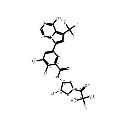 Cc1cc(-c2cc(C(F)(F)F)c3c(N)ncnn23)cc(C(=O)N[C@@H]2CN(C(=O)C(C)(C)F)C[C@@H]2F)c1Cl